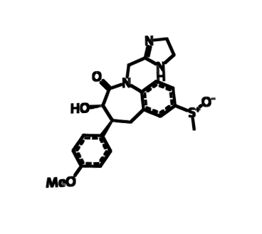 COc1ccc([C@@H]2Cc3cc([S+](C)[O-])ccc3N(CC3=NCCN3)C(=O)[C@@H]2O)cc1